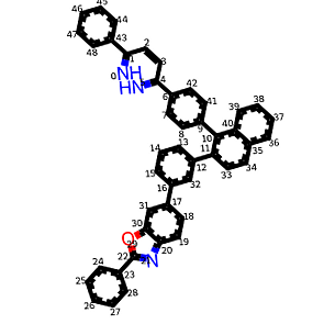 N=C(/C=C\C(=N)c1ccc(-c2c(-c3cccc(-c4ccc5nc(-c6ccccc6)oc5c4)c3)ccc3ccccc23)cc1)c1ccccc1